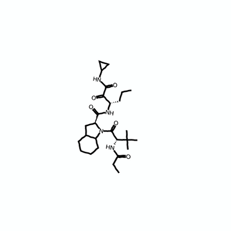 CCC[C@H](NC(=O)[C@@H]1CC2CCCCC2N1C(=O)[C@@H](NC(=O)CC)C(C)(C)C)C(=O)C(=O)NC1CC1